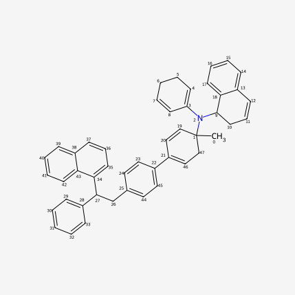 CC1(N(C2=CCCC=C2)C2CC=Cc3ccccc32)C=CC(c2ccc(CC(c3ccccc3)c3cccc4ccccc34)cc2)=CC1